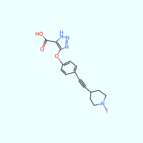 O=C(O)c1[nH]nnc1Oc1ccc(C#CC2CCN(I)CC2)cc1